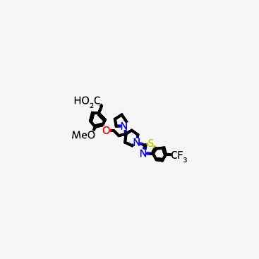 COc1ccc(CC(=O)O)cc1OCCC1(N2CCCC2)CCN(c2nc3ccc(C(F)(F)F)cc3s2)CC1